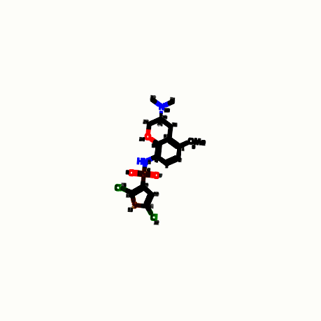 COc1ccc(NS(=O)(=O)c2cc(Cl)sc2Cl)c2c1C[C@@H](N(C)C)CO2